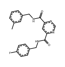 Cc1cccc(CNC(=O)c2cc(C(=O)NCc3ccc(F)cc3)ncn2)c1